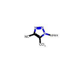 CCCCCCn1nnc(C#N)c1C(Cl)(Cl)Cl